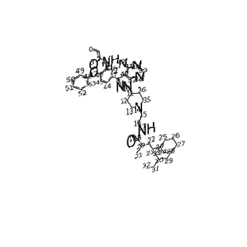 C=CC(=O)Nc1cc(-c2nn(C3CCN(CCNC(=O)[C@H](C)CCC45CCCC(CC(CC)C4)C5)CC3)c3ncnc(N)c23)ccc1Oc1ccccc1